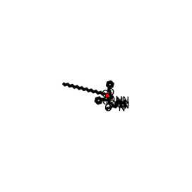 CCCCCCCCCCCCCCCCCCOC[C@@H](COP(=O)(CO[C@H](COC)Cn1cnc2c(NC)ncnc21)OCc1ccccc1)OCc1ccccc1